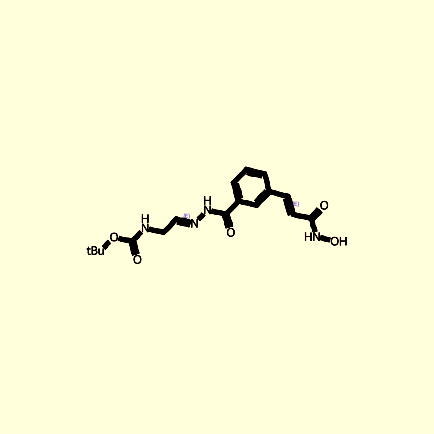 CC(C)(C)OC(=O)NC/C=N/NC(=O)c1cccc(/C=C/C(=O)NO)c1